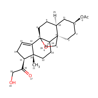 CC(=O)O[C@H]1CC[C@@]23CO[C@]4(CC[C@H]2C1)C1=CC[C@H](C(=O)CO)[C@@]1(C)CC[C@H]34